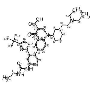 CCNC(=O)Nc1cc(-c2nc(C(F)(F)F)cs2)c(-c2ccc3c(c2)c(=O)c(C(=O)O)cn3[C@@H]2CCCN(CCN(CC)CC)C2)cn1